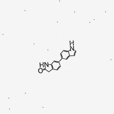 O=C1Cc2ccc(-c3ccc4[nH]ccc4c3)cc2N1